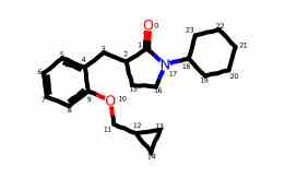 O=C1C(Cc2ccccc2OCC2CC2)CCN1C1CCCCC1